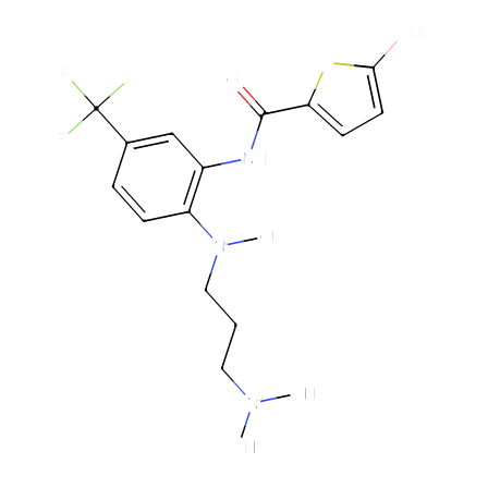 Bc1ccc(C(=O)Nc2cc(C(F)(F)F)ccc2N(C)CCCN(C)C)s1